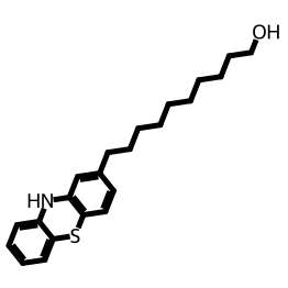 OCCCCCCCCCCc1ccc2c(c1)Nc1ccccc1S2